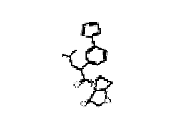 CC(C)CC(C(=O)N1CCC2OCC(=O)C21)c1cccc(-c2ccccc2)c1